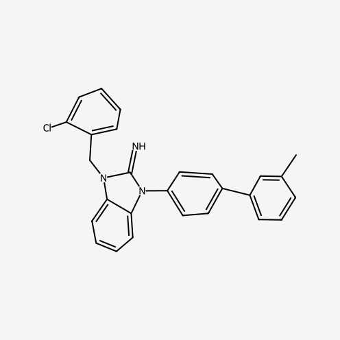 Cc1cccc(-c2ccc(-n3c(=N)n(Cc4ccccc4Cl)c4ccccc43)cc2)c1